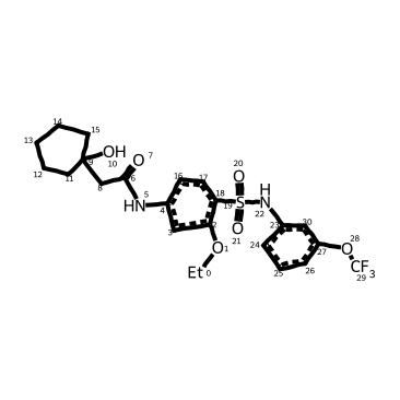 CCOc1cc(NC(=O)CC2(O)CCCCC2)ccc1S(=O)(=O)Nc1cccc(OC(F)(F)F)c1